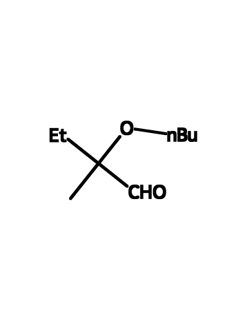 [CH2]CC(C)(C=O)OCCCC